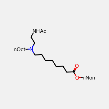 CCCCCCCCCOC(=O)CCCCCCCN(CCCCCCCC)CCNC(C)=O